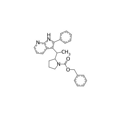 CC(c1c(-c2ccccc2)[nH]c2ncccc12)C1CCCN1C(=O)OCc1ccccc1